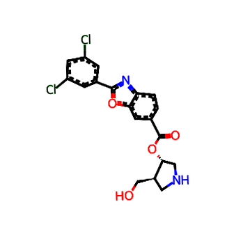 O=C(O[C@@H]1CNC[C@H]1CO)c1ccc2nc(-c3cc(Cl)cc(Cl)c3)oc2c1